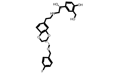 OCc1cc([C@@H](O)CNCCc2ccc3c(c2)O[C@H](COCc2ccc(F)cc2)CO3)ccc1O